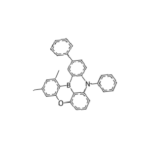 Cc1cc(C)c2c(c1)Oc1cccc3c1B2c1cc(-c2ccccc2)ccc1N3c1ccccc1